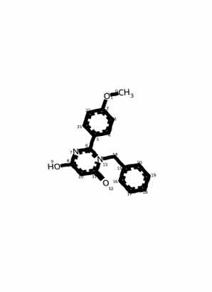 COc1ccc(-c2nc(O)cc(=O)n2Cc2ccccc2)cc1